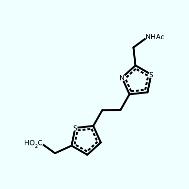 CC(=O)NCc1nc(CCc2ccc(CC(=O)O)s2)cs1